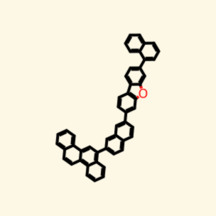 c1ccc2c(-c3ccc4c(c3)oc3cc(-c5ccc6ccc(-c7cc8c9ccccc9ccc8c8ccccc78)cc6c5)ccc34)cccc2c1